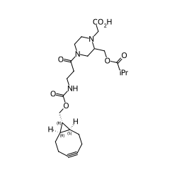 CC(C)C(=O)OCC1CN(C(=O)CCNC(=O)OC[C@H]2[C@@H]3CCC#CCC[C@@H]32)CCN1CC(=O)O